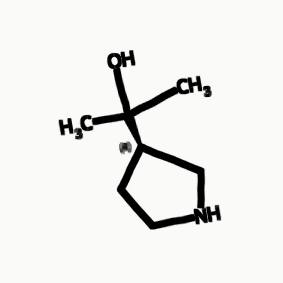 CC(C)(O)[C@@H]1CCNC1